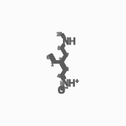 C=C/C(=C\C=[NH+]\[O-])CCNC